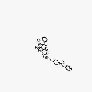 O=C(NCCC1CCN(C(=O)Cc2ccncc2)CC1)Oc1n[nH]c(NC(=O)c2ccccc2Cl)c1Br